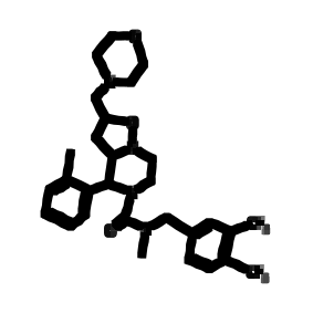 Cc1ccccc1C1C2CC(CN3CCOCC3)ON2CCN1C(=O)N(C)Cc1ccc(C(F)(F)F)c(C(F)(F)F)c1